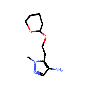 Cn1ncc(N)c1CCOC1CCCCO1